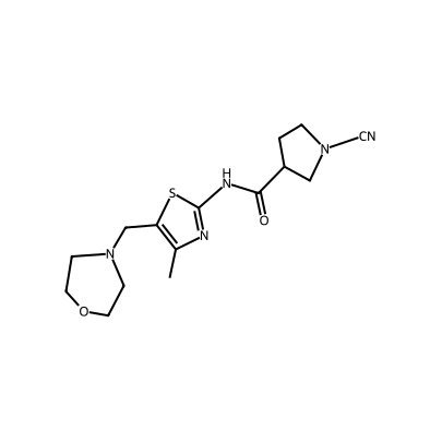 Cc1nc(NC(=O)C2CCN(C#N)C2)sc1CN1CCOCC1